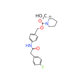 O=C(Cc1ccc(F)cc1)Nc1ccc(COC(=O)N2CCCC[C@H]2C(=O)O)cc1